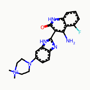 C[N+]1(C)CCN(c2ccc3nc(-c4c(N)c5c(F)cccc5[nH]c4=O)[nH]c3c2)CC1